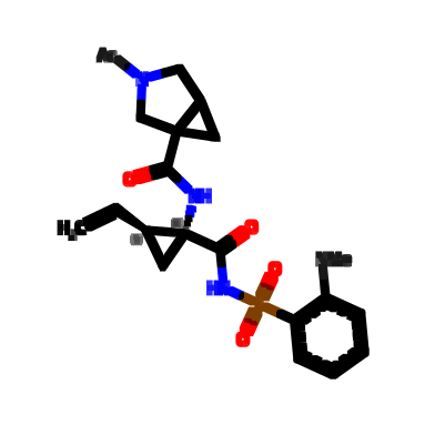 C=C[C@@H]1C[C@]1(NC(=O)C12CC1CN(C(C)=O)C2)C(=O)NS(=O)(=O)c1ccccc1NC